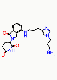 NCCCn1cnc(CCCNc2cccc3c2CN(C2CCC(=O)NC2=O)C3=O)c1